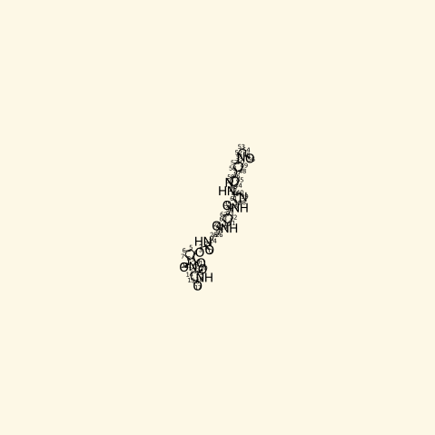 O=C(COc1cccc2c1C(=O)N(C1CCC(=O)NC1=O)C2=O)NCCCC(=O)Nc1ccc(C(=O)Nc2cncc(Nc3ccc(-c4ccc(N5CCCC5=O)cc4)cn3)c2)cc1